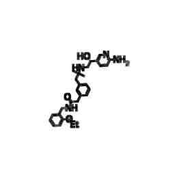 CCOc1ccccc1CNC(=O)Cc1cccc(CC(C)(C)NC[C@H](O)c2ccc(N)nc2)c1